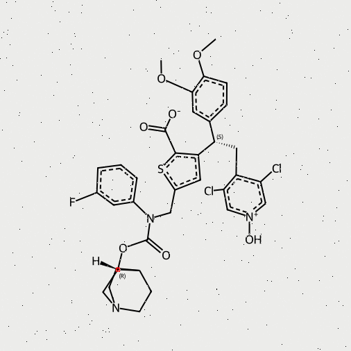 COc1ccc([C@H](Cc2c(Cl)c[n+](O)cc2Cl)c2cc(CN(C(=O)O[C@H]3CN4CCC3CC4)c3cccc(F)c3)sc2C(=O)[O-])cc1OC